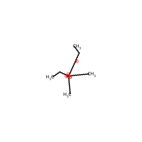 CCCCCCCC/C=C\CCCCCCCC(=O)CCCCCCCCCCCCCCCC(C(=O)CCCCCCCCCCCCCCCCCCC)C([C]=O)(C(=O)CCCCCCC/C=C\CCCCCCCC)C(=O)CCCCCCCCCCCCCCCCC